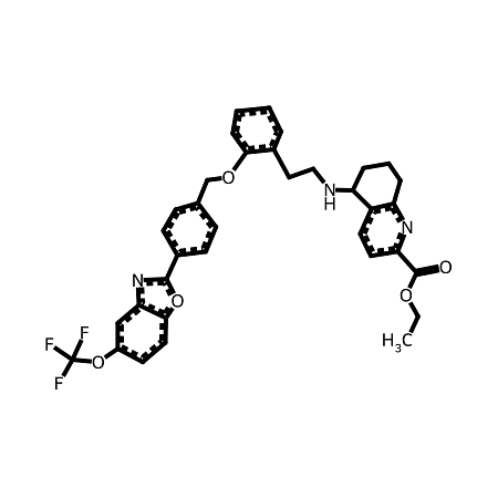 CCOC(=O)c1ccc2c(n1)CCCC2NCCc1ccccc1OCc1ccc(-c2nc3cc(OC(F)(F)F)ccc3o2)cc1